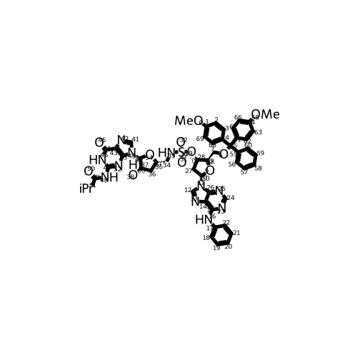 COc1ccc(C(OC[C@H]2O[C@@H](n3cnc4c(Nc5ccccc5)ncnc43)C[C@@H]2OS(=O)(=O)NC[C@@H]2C[C@@H](O)[C@H](n3cnc4c(=O)[nH]c(NC(=O)C(C)C)nc43)O2)(c2ccccc2)c2ccc(OC)cc2)cc1